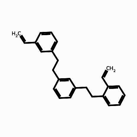 C=Cc1cccc(CCc2cccc(CCc3ccccc3C=C)c2)c1